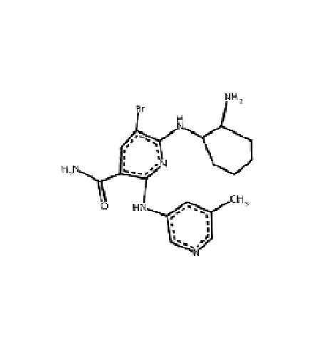 Cc1cncc(Nc2nc(NC3CCCCC3N)c(Br)cc2C(N)=O)c1